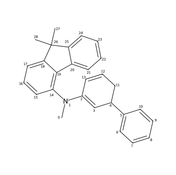 CN(C1=CC(c2ccccc2)CC=C1)c1cccc2c1-c1ccccc1C2(C)C